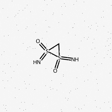 N=S1(=O)CS1(=N)=O